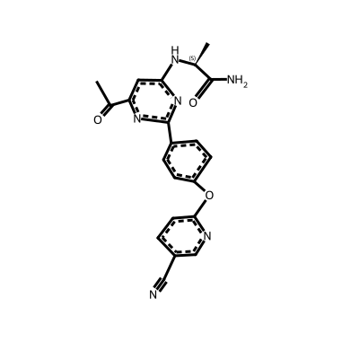 CC(=O)c1cc(N[C@@H](C)C(N)=O)nc(-c2ccc(Oc3ccc(C#N)cn3)cc2)n1